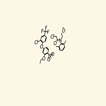 CCOc1cc(Oc2ccc(C(F)(F)F)cc2Cl)ccc1[N+](=O)[O-].COCCN(C(=O)CCl)c1c(C)cccc1C